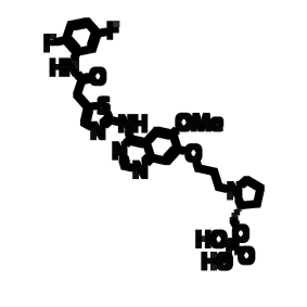 COc1cc2c(Nc3ncc(CC(=O)Nc4cc(F)ccc4F)s3)ncnc2cc1OCCCN1CCC[C@@H]1COP(=O)(O)O